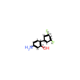 Nc1ccc(-c2cc(F)cc(F)c2)c(O)c1